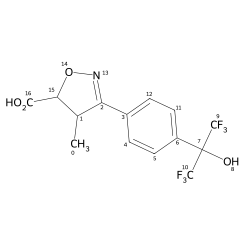 CC1C(c2ccc(C(O)(C(F)(F)F)C(F)(F)F)cc2)=NOC1C(=O)O